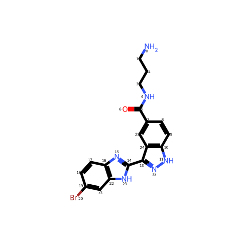 NCCCNC(=O)c1ccc2[nH]nc(-c3nc4ccc(Br)cc4[nH]3)c2c1